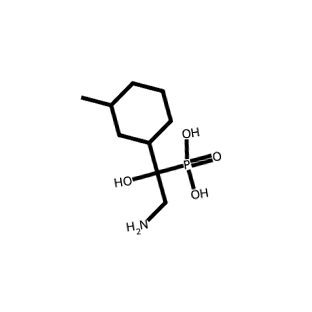 CC1CCCC(C(O)(CN)P(=O)(O)O)C1